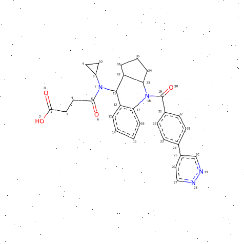 O=C(O)CCC(=O)N(C1CC1)C1c2ccccc2N(C(=O)c2ccc(-c3ccnnc3)cc2)C2CCCC21